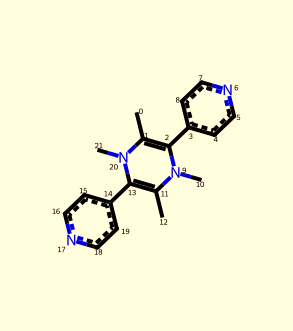 CC1=C(c2ccncc2)N(C)C(C)=C(c2ccncc2)N1C